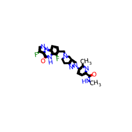 CNC(=O)c1ccc(-n2cc3c(n2)CCN(Cc2ccc4c([nH]c(=O)c5c(F)cnn54)c2F)C3)c(C)n1